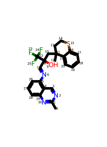 Cc1ncc2c(N=CC(O)(CC3(C)CCSc4ccccc43)C(F)(F)F)cccc2n1